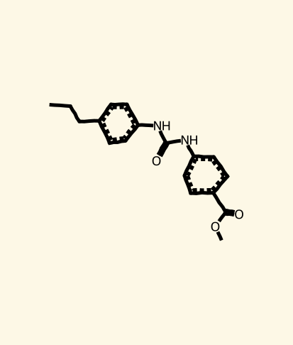 CCCc1ccc(NC(=O)Nc2ccc(C(=O)OC)cc2)cc1